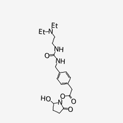 CCN(CC)CCNC(=O)NCc1ccc(CC(=O)ON2C(=O)CCC2O)cc1